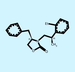 CCc1ccccc1[C@@H](C)CN1C(=O)OC[C@H]1Cc1ccccc1